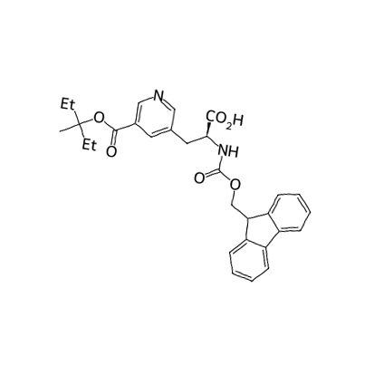 CCC(C)(CC)OC(=O)c1cncc(C[C@H](NC(=O)OCC2c3ccccc3-c3ccccc32)C(=O)O)c1